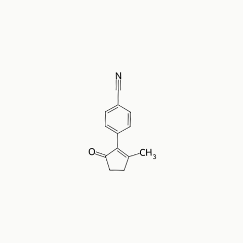 CC1=C(c2ccc(C#N)cc2)C(=O)CC1